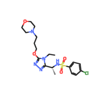 CCn1c(OCCCN2CCOCC2)nnc1[C@@H](C)NS(=O)(=O)c1ccc(Cl)cc1